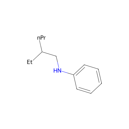 CCCC(CC)CNc1ccccc1